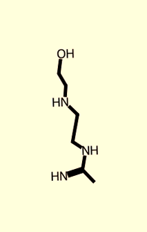 CC(=N)NCCNCCO